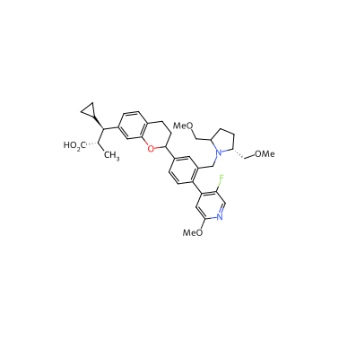 COCC1CC[C@H](COC)N1Cc1cc(C2CCc3ccc([C@H](C4CC4)[C@H](C)C(=O)O)cc3O2)ccc1-c1cc(OC)ncc1F